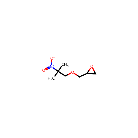 CC(C)(COCC1CO1)[N+](=O)[O-]